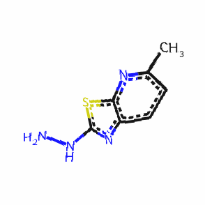 Cc1ccc2nc(NN)sc2n1